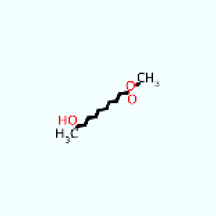 CCOC(=O)CCCCCCCCC(C)O